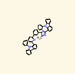 Cn1nc(-c2cccc3c4ccccc4n(C4=CCCC=C4)c23)nc1-c1cccc(-c2cccc(-c3cccc4c5ccccc5n(-c5ccccc5)c34)n2)c1